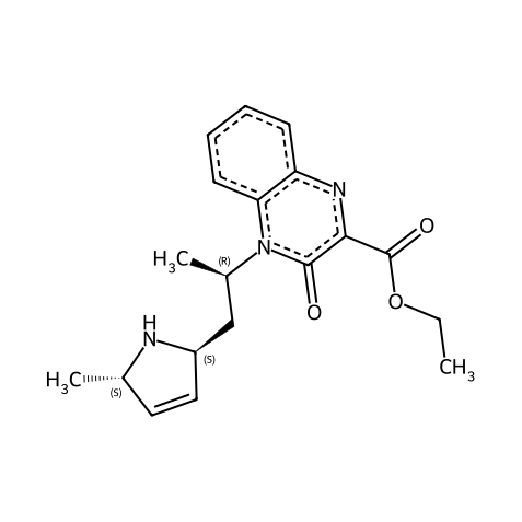 CCOC(=O)c1nc2ccccc2n([C@H](C)C[C@H]2C=C[C@H](C)N2)c1=O